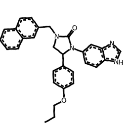 CCCOc1ccc(C2CN(Cc3ccc4ccccc4c3)C(=O)N2c2ccc3[nH]cnc3c2)cc1